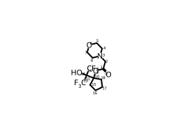 O=C(CN1CCOCC1)OC1(C(O)(C(F)(F)F)C(F)(F)F)CCCC1